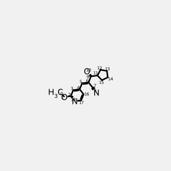 COc1cc(/C=C(\C#N)C(=O)C2CCCC2)ccn1